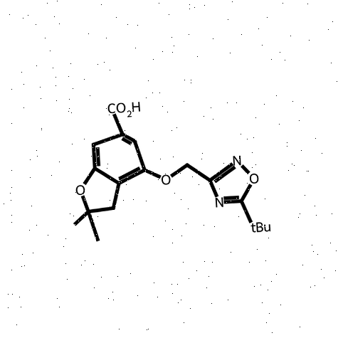 CC1(C)Cc2c(OCc3noc(C(C)(C)C)n3)cc(C(=O)O)cc2O1